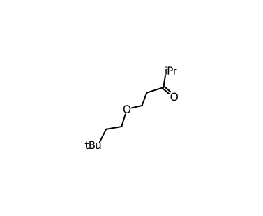 CC(C)C(=O)CCOCCC(C)(C)C